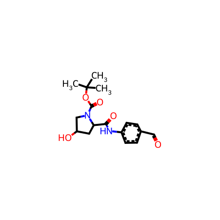 CC(C)(C)OC(=O)N1CC(O)CC1C(=O)Nc1ccc(C=O)cc1